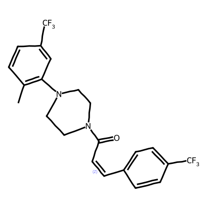 Cc1ccc(C(F)(F)F)cc1N1CCN(C(=O)/C=C\c2ccc(C(F)(F)F)cc2)CC1